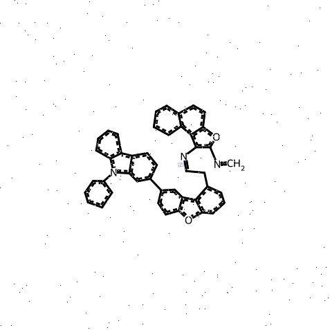 C=Nc1oc2ccc3ccccc3c2c1/N=C\Cc1cccc2oc3ccc(-c4ccc5c6ccccc6n(-c6ccccc6)c5c4)cc3c12